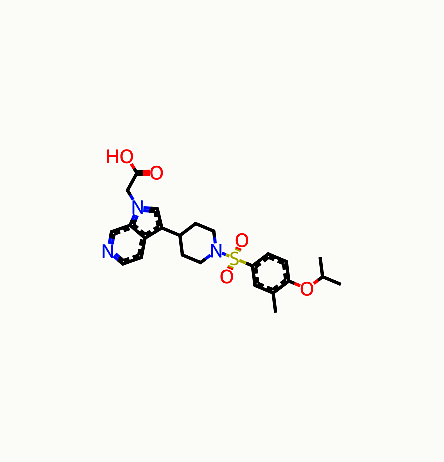 Cc1cc(S(=O)(=O)N2CCC(c3cn(CC(=O)O)c4cnccc34)CC2)ccc1OC(C)C